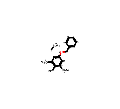 CCCc1c(OC)cc(OCc2ccccc2)cc1OC.CNC